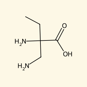 CCC(N)(CN)C(=O)O